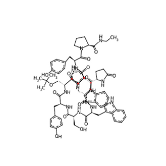 CCNC(=O)[C@@H]1CCCN1C(=O)[C@H](Cc1ccc(O)cc1)NC(=O)[C@H](Cc1c[nH]c2ccccc12)NC(=O)[C@@H](COC(C)(C)C)NC(=O)[C@H](Cc1ccc(O)cc1)NC(=O)[C@H](CO)NC(=O)[C@H](Cc1c[nH]c2ccccc12)NC(=O)[C@H](Cc1c[nH]cn1)NC(=O)[C@@H]1CCC(=O)N1